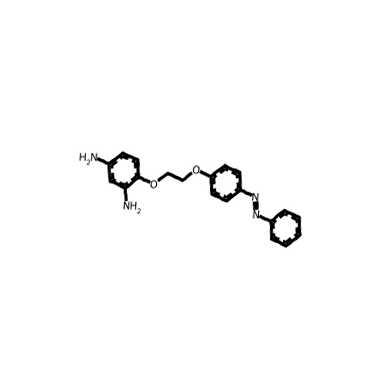 Nc1ccc(OCCOc2ccc(N=Nc3ccccc3)cc2)c(N)c1